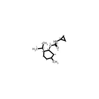 CC1CC[C@@H](C(C)C)[C@@H](OC(=O)NC2CC2)C1